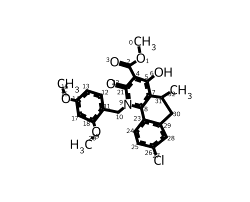 COC(=O)c1c(O)c2c(n(Cc3ccc(OC)cc3OC)c1=O)-c1ccc(Cl)cc1CC2C